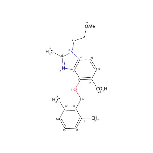 COCCn1c(C)nc2c(OCc3c(C)cccc3C)c(C(=O)O)ccc21